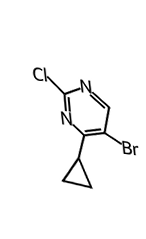 Clc1ncc(Br)c(C2CC2)n1